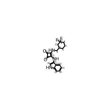 O=c1c(NCC2CCCC(F)(F)C2)c(Nc2c[nH]c3ccccc23)c1=O